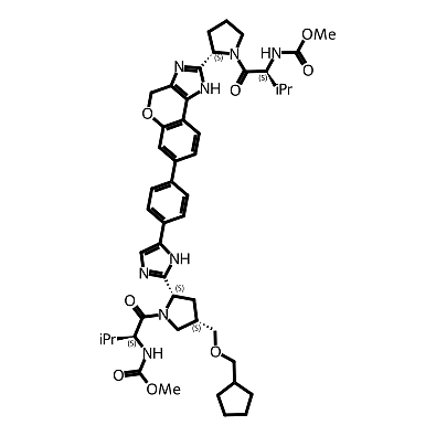 COC(=O)N[C@H](C(=O)N1C[C@@H](COCC2CCCC2)C[C@H]1c1ncc(-c2ccc(-c3ccc4c(c3)OCc3nc([C@@H]5CCCN5C(=O)[C@@H](NC(=O)OC)C(C)C)[nH]c3-4)cc2)[nH]1)C(C)C